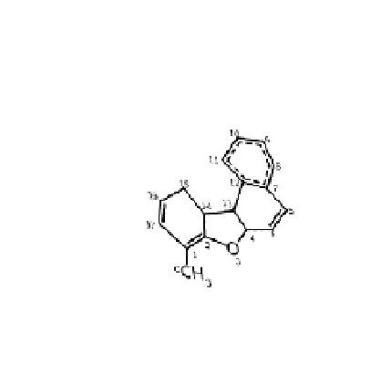 CC1=C2OC3C=Cc4ccccc4C3C2CC=C1